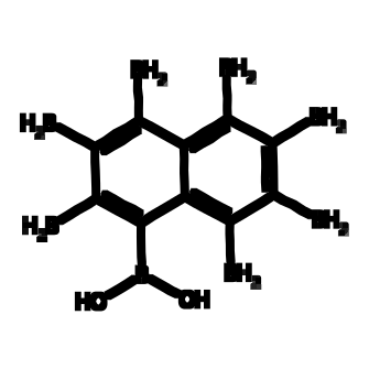 Bc1c(B)c(B)c2c(B(O)O)c(B)c(B)c(B)c2c1B